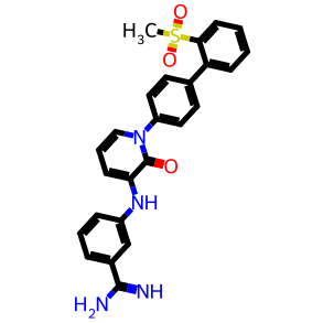 CS(=O)(=O)c1ccccc1-c1ccc(-n2cccc(Nc3cccc(C(=N)N)c3)c2=O)cc1